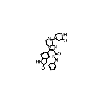 O=C1CN(c2nccn3c(-c4ccc5c(c4)CC(=O)N5)c(C(=O)N=Nc4ccccc4)nc23)CCN1